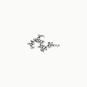 CC(C)C[C@H](NC(=O)CNC(=O)[C@H](CC(C)C)NC(=O)[C@H](CCC(N)=O)NC(=O)CNC(=O)[C@H]1C[C@H](O)CN1)C(=O)N[C@@H](C)C(=O)NCC(=O)N1CCC[C@H]1C(=O)N[C@@H](C)C(=O)O